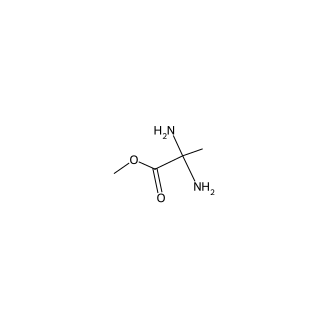 COC(=O)C(C)(N)N